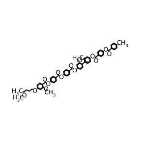 COc1cc(OCCCC(C)OC)ccc1C(=O)Oc1ccc(C(=O)Oc2ccc(C(=O)Oc3ccc(-c4ccc(OC(=O)c5ccc(OC(=O)c6ccc(C)cc6)cc5)cc4C)c(C)c3)cc2)cc1